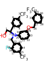 OCC(c1ccc(C(F)(F)F)cc1)N(Cc1ccc(C(F)(F)F)cc1F)c1cccc(OCc2cccc(C(F)(F)F)c2)c1